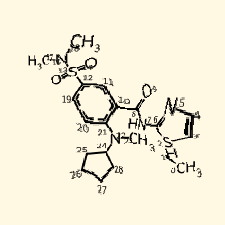 CC[SH]1C=CN=C1NC(=O)c1cc(S(=O)(=O)N(C)C)ccc1N(C)C1CCCC1